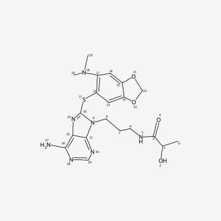 CC(O)C(=O)NCCCn1c(Sc2cc3c(cc2N(C)C)OCO3)nc2c(N)ncnc21